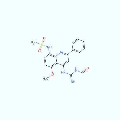 COc1ccc(NS(C)(=O)=O)c2nc(-c3ccccc3)cc(NC(=N)NC=O)c12